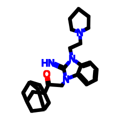 N=c1n(CCN2CCCCC2)c2ccccc2n1CC(=O)C12CC3CC(CC(C3)C1)C2